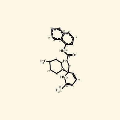 CC1CCN(C2(CNC(=O)Nc3cccc4ccncc34)C=CC=C(C(F)(F)F)N2)CC1